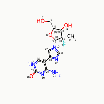 C[C@@]1(F)[C@H](O)[C@@H](CO)O[C@H]1n1cnc(-c2c[nH]c(=O)nc2N)c1